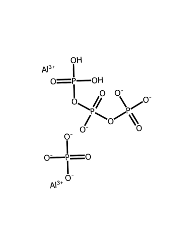 O=P([O-])([O-])OP(=O)([O-])OP(=O)(O)O.O=P([O-])([O-])[O-].[Al+3].[Al+3]